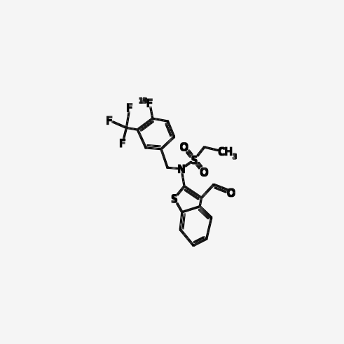 CCS(=O)(=O)N(Cc1ccc([18F])c(C(F)(F)F)c1)c1sc2ccccc2c1C=O